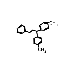 Cc1ccc(C(CCc2cc[c]cc2)c2ccc(C)cc2)cc1